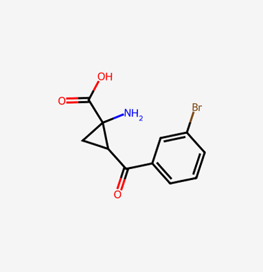 NC1(C(=O)O)CC1C(=O)c1cccc(Br)c1